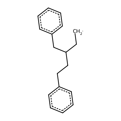 [CH2]C[C](CCc1ccccc1)Cc1ccccc1